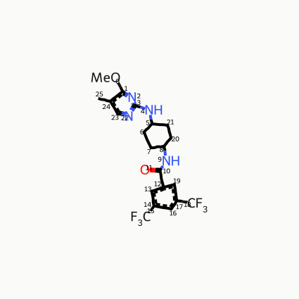 COc1nc(NC2CCC(NC(=O)c3cc(C(F)(F)F)cc(C(F)(F)F)c3)CC2)ncc1C